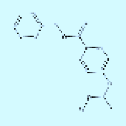 CCOC(C)Oc1ccc(C(=O)OCc2ccccc2)cc1